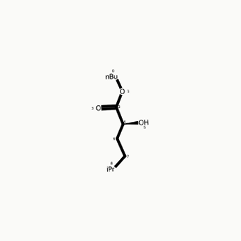 CCCCOC(=O)[C@@H](O)C[CH]C(C)C